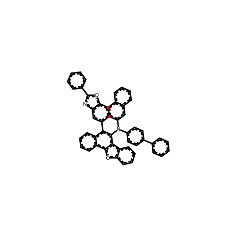 c1ccc(-c2ccc(N(c3ccc4ccccc4c3)c3c(-c4ccc5oc(-c6ccccc6)nc5c4)c4ccccc4c4oc5ccccc5c34)cc2)cc1